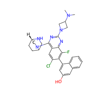 CN(C)C1CN(c2nc(N3C[C@@H]4CCC3CN4)c3cc(Cl)c(-c4cc(O)cc5ccccc45)c(F)c3n2)C1